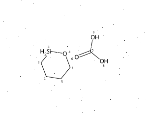 C1CC[SiH2]OC1.O=C(O)O